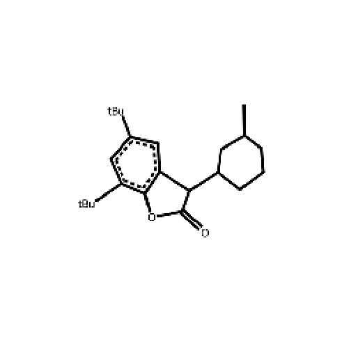 CC1CCCC(C2C(=O)Oc3c2cc(C(C)(C)C)cc3C(C)(C)C)C1